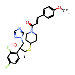 C[C@@H](SC1CCN(C(=O)C=Cc2ccc(OC(F)(F)F)cc2)CC1)[C@](O)(Cn1cncn1)c1ccc(F)cc1F